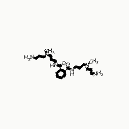 CN(CCCN)CCCNC(=O)[C@@H]1CCCC[C@H]1C(=O)NCCCN(C)CCCN